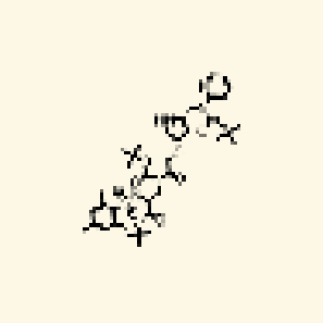 Cc1cc(C)c(S(=O)(=O)N[C@@H](CN(C(=O)CO[C@H]2CN[C@H](CN(C(=O)OC(C)(C)C)c3ccccn3)C2)C(=O)OC(C)(C)C)C(=O)OC(C)(C)C)c(C)c1